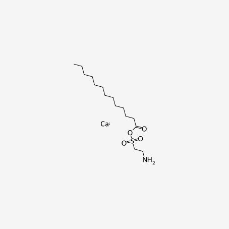 CCCCCCCCCCCCC(=O)OS(=O)(=O)CCN.[Ca]